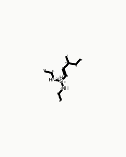 CCN[SiH](C=CC(C)CC)NCC